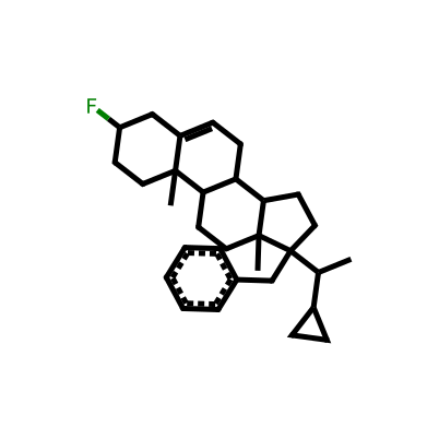 CC(C1CC1)C1(Cc2ccccc2)CCC2C3CC=C4CC(F)CCC4(C)C3CCC21C